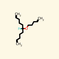 C=CCCCOC(F)(CCCC=C)CCCC=C